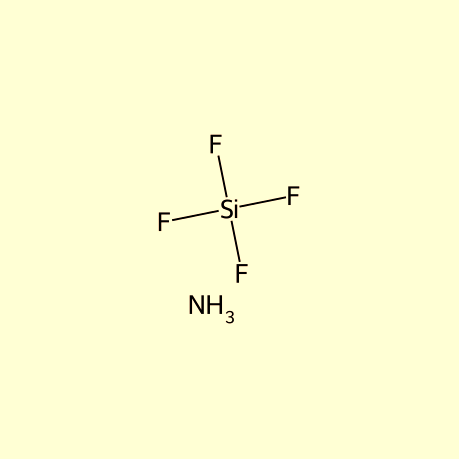 F[Si](F)(F)F.N